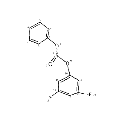 O=S(Oc1ccccc1)Oc1cc(F)cc(F)c1